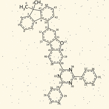 CC1(C)c2ccccc2-c2c(-c3ccc4c(c3)oc3cc(-c5nc(-c6ccccc6)nc(-c6ccccc6)n5)ccc34)cccc21